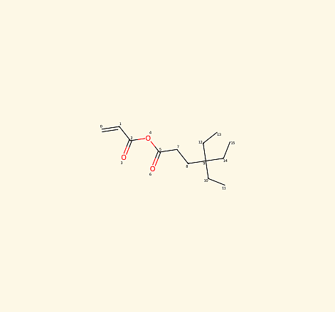 C=CC(=O)OC(=O)CCC(CC)(CC)CC